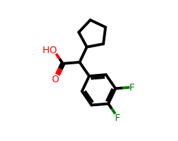 O=C(O)C(c1ccc(F)c(F)c1)C1CCCC1